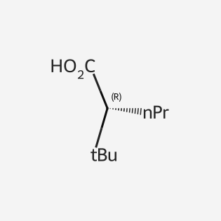 CCC[C@@H](C(=O)O)C(C)(C)C